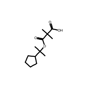 CC(C)(C(=O)O)C(=O)OC(C)(C)C1CCCC1